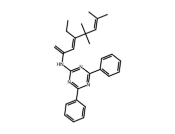 C=C(/C=C(\CC)C(C)(C)C=C(C)C)Nc1nc(-c2ccccc2)nc(-c2ccccc2)n1